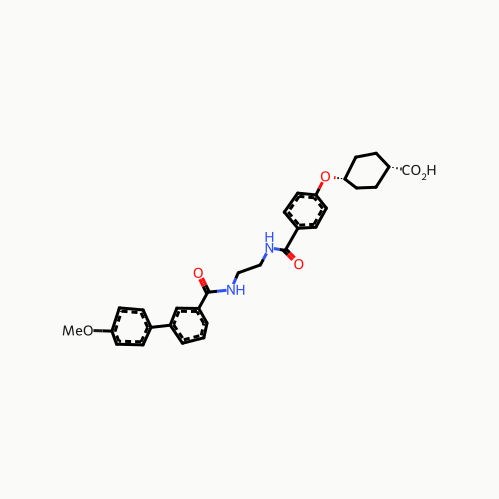 COc1ccc(-c2cccc(C(=O)NCCNC(=O)c3ccc(O[C@H]4CC[C@@H](C(=O)O)CC4)cc3)c2)cc1